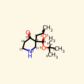 C=CCC1(C(=O)OC(C)(C)C)CNCCC1=O